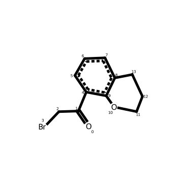 O=C(CBr)c1cccc2c1OCCC2